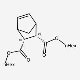 CCCCCCOC(=O)[C@@H]1C2C=CC(C2)[C@@H]1C(=O)OCCCCCC